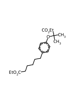 CCOC(=O)CCCCCc1ccc(OC(C)(C)C(=O)OCC)cc1